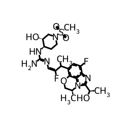 CC(/C(F)=C\N=C(/N)N[C@@H]1CCN(S(C)(=O)=O)C[C@H]1O)c1cc(F)c2nc([C@@H](C)O)n3c2c1OC[C@@H]3C